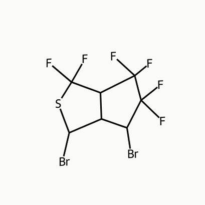 FC1(F)SC(Br)C2C(Br)C(F)(F)C(F)(F)C21